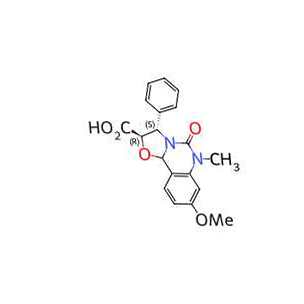 COc1ccc2c(c1)N(C)C(=O)N1C2O[C@@H](C(=O)O)[C@@H]1c1ccccc1